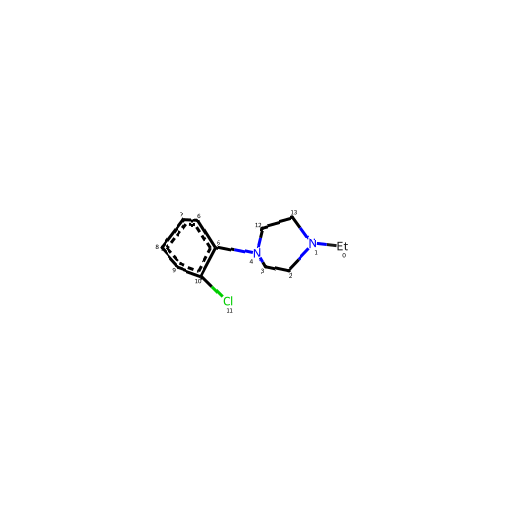 CCN1CCN(c2cc[c]cc2Cl)CC1